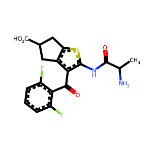 CC(N)C(=O)Nc1sc2c(c1C(=O)c1c(F)cccc1F)CC(C(=O)O)C2